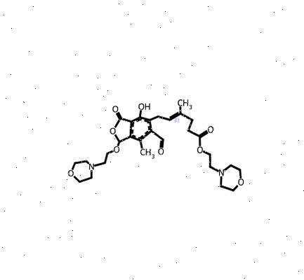 C/C(=C\Cc1c(O)c2c(c(C)c1C=O)C(OCCN1CCOCC1)OC2=O)CCC(=O)OCCN1CCOCC1